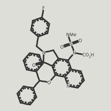 CNS(=O)(=O)N(C(=O)O)c1c2c(c(OC(c3ccccc3)c3ccccc3)c3ncccc13)C(=O)N(Cc1ccc(F)cc1)C2